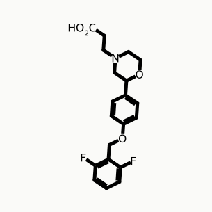 O=C(O)CCN1CCOC(c2ccc(OCc3c(F)cccc3F)cc2)C1